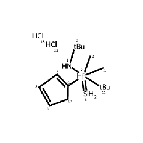 CC(C)(C)[NH][Hf]([CH3])([CH3])(=[SiH2])([C]1=CC=CC1)[C](C)(C)C.Cl.Cl